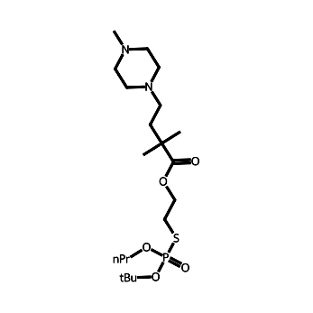 CCCOP(=O)(OC(C)(C)C)SCCOC(=O)C(C)(C)CCN1CCN(C)CC1